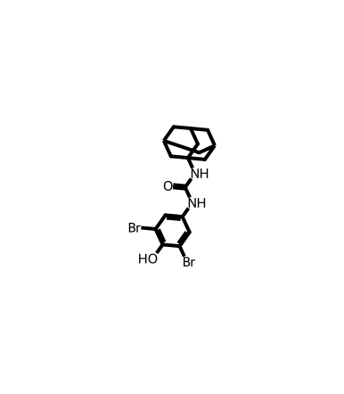 O=C(Nc1cc(Br)c(O)c(Br)c1)NC12CC3CC(CC(C3)C1)C2